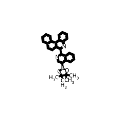 CC1(C)OB(c2cnc(-c3nc4ccccc4c4c3ccc3ccccc34)c3ccccc23)OC1(C)C